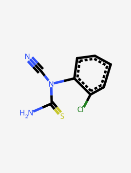 N#CN(C(N)=S)c1ccccc1Cl